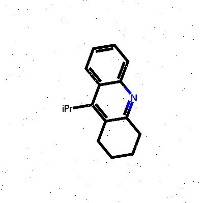 CC(C)c1c2c(nc3ccccc13)CCCC2